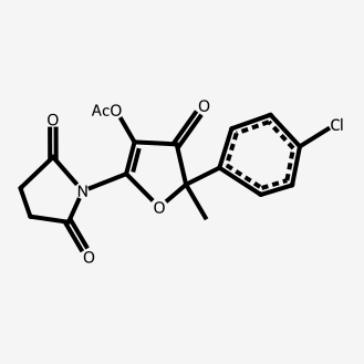 CC(=O)OC1=C(N2C(=O)CCC2=O)OC(C)(c2ccc(Cl)cc2)C1=O